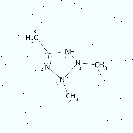 CC1=NN(C)N(C)N1